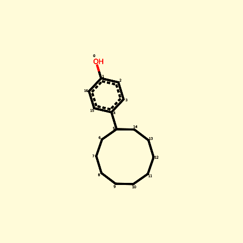 Oc1ccc(C2CCCCCCCCC2)cc1